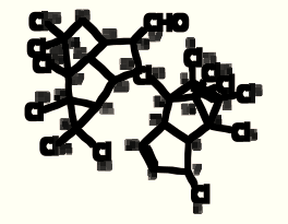 ClC1=C(Cl)C2(Cl)C3C(Cl)C=CC3C1(Cl)C2(Cl)Cl.O=CC1CC2C3C1CC(Cl)(Cl)C3(Cl)C1(Cl)C2C1(Cl)Cl